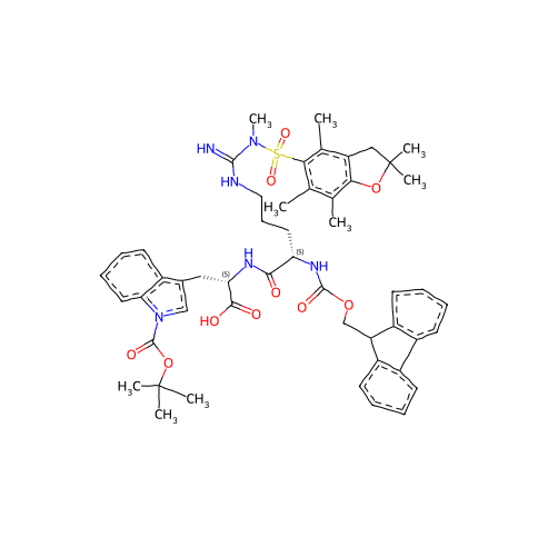 Cc1c(C)c(S(=O)(=O)N(C)C(=N)NCCC[C@H](NC(=O)OCC2c3ccccc3-c3ccccc32)C(=O)N[C@@H](Cc2cn(C(=O)OC(C)(C)C)c3ccccc23)C(=O)O)c(C)c2c1OC(C)(C)C2